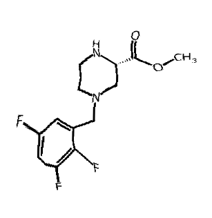 COC(=O)[C@@H]1CN(Cc2cc(F)cc(F)c2F)CCN1